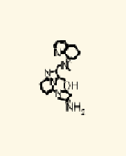 CN(CC1N=C2C=CC=C(N3CC[C@@H](N)C3)N2C1CO)[C@H]1CCCc2cccnc21